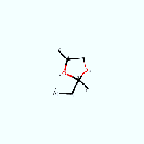 CC(=O)CC1(C)OCC(C)O1